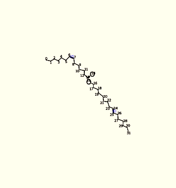 CCCCCC/C=C\CCCCCC(=O)OCCCCCCCC/C=C/CCCCCC